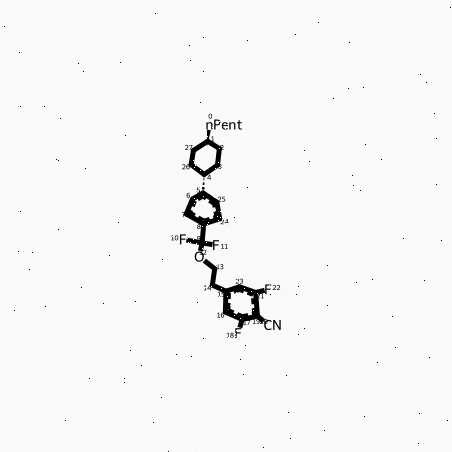 CCCCC[C@H]1CC[C@H](c2ccc(C(F)(F)OCCc3cc(F)c(C#N)c(F)c3)cc2)CC1